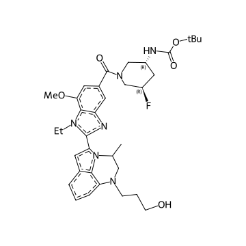 CCn1c(-c2cc3cccc4c3n2C(C)CN4CCCO)nc2cc(C(=O)N3C[C@H](F)C[C@@H](NC(=O)OC(C)(C)C)C3)cc(OC)c21